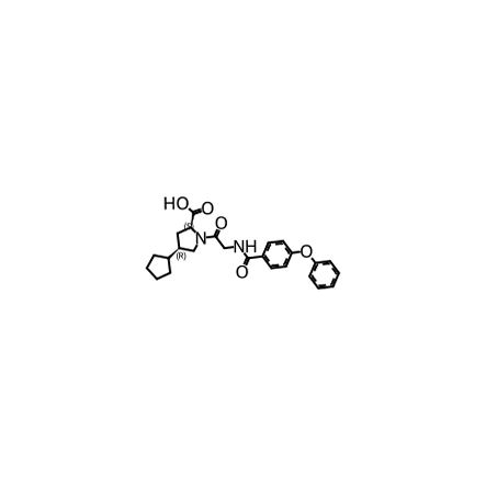 O=C(NCC(=O)N1C[C@@H](C2CCCC2)C[C@H]1C(=O)O)c1ccc(Oc2ccccc2)cc1